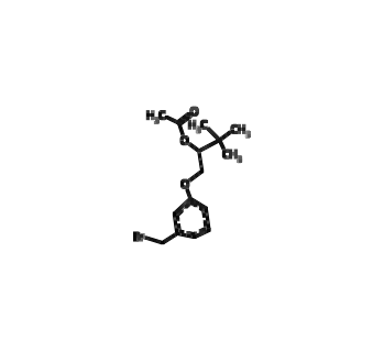 CC(=O)OC(COc1cccc(CBr)c1)C(C)(C)C